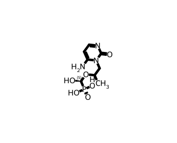 CC(Cn1c(N)ccnc1=O)O[C@H](O)P(=O)(O)O